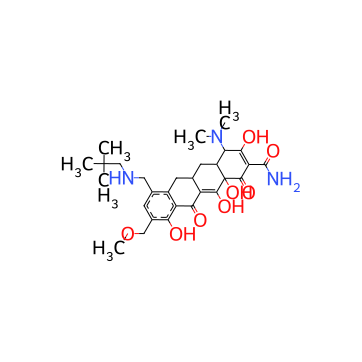 COCc1cc(CNCC(C)(C)C)c2c(c1O)C(=O)C1=C(O)C3(O)C(=O)C(C(N)=O)=C(O)C(N(C)C)C3CC1C2